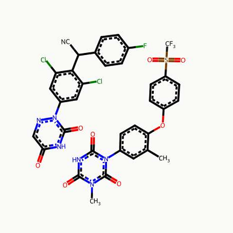 Cc1cc(-n2c(=O)[nH]c(=O)n(C)c2=O)ccc1Oc1ccc(S(=O)(=O)C(F)(F)F)cc1.N#CC(c1ccc(F)cc1)c1c(Cl)cc(-n2ncc(=O)[nH]c2=O)cc1Cl